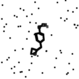 COC1=CCC(CC2CCO2)C=C1